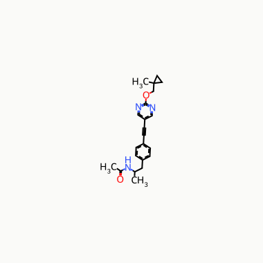 CC(=O)NC(C)Cc1ccc(C#Cc2cnc(OCC3(C)CC3)nc2)cc1